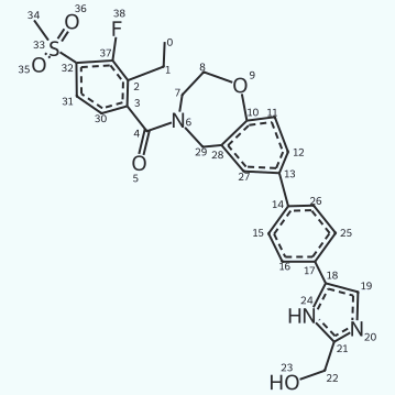 CCc1c(C(=O)N2CCOc3ccc(-c4ccc(-c5cnc(CO)[nH]5)cc4)cc3C2)ccc(S(C)(=O)=O)c1F